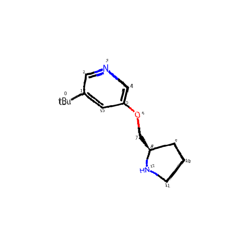 CC(C)(C)c1cncc(OC[C@H]2CCCN2)c1